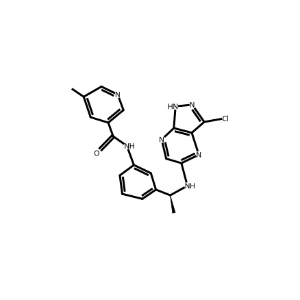 Cc1cncc(C(=O)Nc2cccc([C@H](C)Nc3cnc4[nH]nc(Cl)c4n3)c2)c1